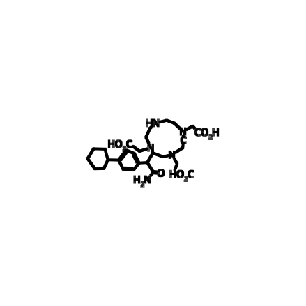 NC(=O)C(c1ccc(C2CCCCC2)cc1)C1CN(CC(=O)O)CCN(CC(=O)O)CCNCCN1CC(=O)O